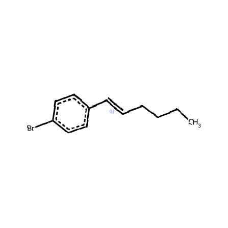 CCCC/C=C/c1ccc(Br)cc1